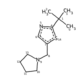 CC(C)(C)c1ncc(CN2CCCC2)s1